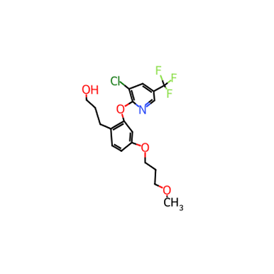 COCCCOc1ccc(CCCO)c(Oc2ncc(C(F)(F)F)cc2Cl)c1